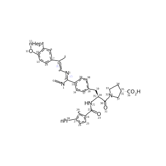 C=N/C(=N\C=C(/C)c1ccc(OCCCCCCC)cc1)c1ccc(C[C@H](NC(=O)c2ccc(CCC)s2)C(=O)N2CC[C@H](C(=O)O)C2)cc1